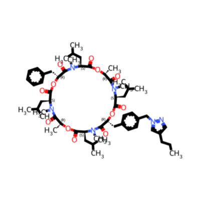 CCCc1cnn(Cc2ccc(C[C@H]3OC(=O)[C@H](CC(C)C)N(C)C(=O)[C@@H](C)OC(=O)[C@H](CC(C)C)N(C)C(=O)[C@@H](Cc4ccccc4)OC(=O)[C@H](CC(C)C)N(C)C(=O)[C@@H](C)OC(=O)[C@H](CC(C)C)N(C)C3=O)cc2)c1